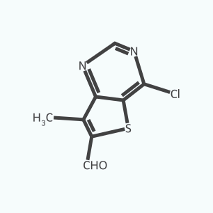 Cc1c(C=O)sc2c(Cl)ncnc12